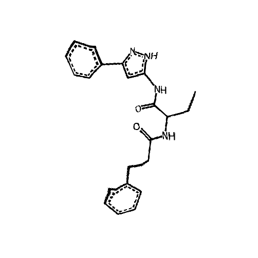 CCC(NC(=O)CCc1ccccc1)C(=O)Nc1cc(-c2ccccc2)n[nH]1